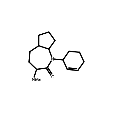 CNC1CCC2CCCC2N(C2C=CCCC2)C1=O